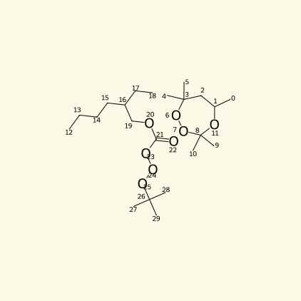 CC1CC(C)(C)OOC(C)(C)O1.CCCCC(CC)COC(=O)OOOC(C)(C)C